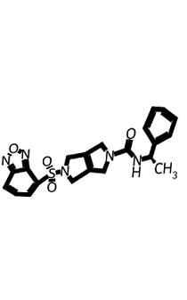 C[C@@H](NC(=O)N1CC2=C(C1)CN(S(=O)(=O)c1cccc3nonc13)C2)c1ccccc1